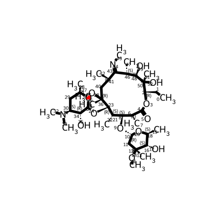 CC[C@H]1OC(=O)[C@H](C)[C@@H](O[C@H]2C[C@@](C)(OC)[C@@H](O)[C@H](C)O2)[C@H](C)[C@@H](O[C@@H]2O[C@H](C)C[C@H](N(C)C)[C@H]2O)[C@](C)(OC)C[C@@H](C)C(=NC)[C@H](C)[C@@H](O)[C@]1(C)O